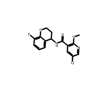 COc1ncc(Cl)cc1C(=O)NC1CCOc2c(F)cccc21